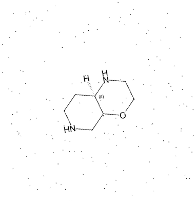 C1C[C@H]2NCCO[C]2CN1